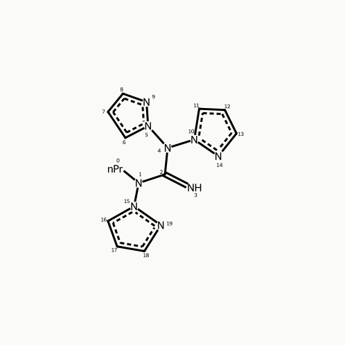 CCCN(C(=N)N(n1cccn1)n1cccn1)n1cccn1